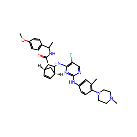 COc1ccc(C(C)NC(=O)[C@H]2[C@@H](Nc3nc(Nc4ccc(N5CCN(C)CC5)c(C)c4)ncc3F)[C@@H]3C=C[C@H]2C3)cc1